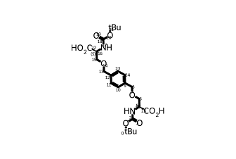 CC(C)(C)OC(=O)N[C@@H](COCc1ccc(COC[C@H](NC(=O)OC(C)(C)C)C(=O)O)cc1)C(=O)O